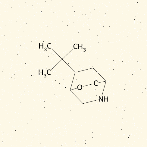 CC(C)(C)C1CC2COC1CN2